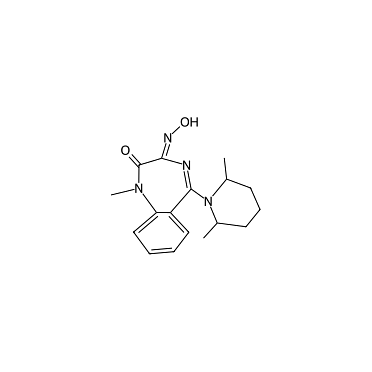 CC1CCCC(C)N1c1nc(=NO)c(=O)n(C)c2ccccc12